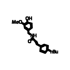 CCCCc1ccc(C=CC(=O)NCc2ccc(O)c(OC)c2)cc1